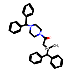 C[As](CC(=O)N1CCN(C(c2ccccc2)c2ccccc2)CC1)C(c1ccccc1)c1ccccc1